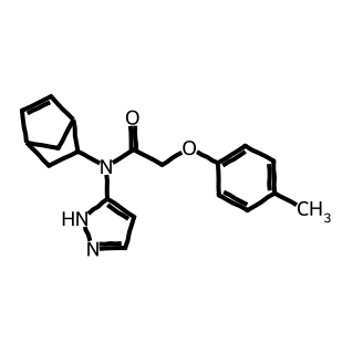 Cc1ccc(OCC(=O)N(c2ccn[nH]2)C2CC3C=CC2C3)cc1